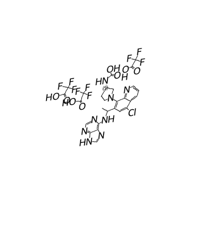 CC(Nc1ncnc2[nH]cnc12)c1cc(Cl)c2cccnc2c1N1CC[C@H](NC(=O)O)C1.O=C(O)C(F)(F)F.O=C(O)C(F)(F)F.O=C(O)C(F)(F)F